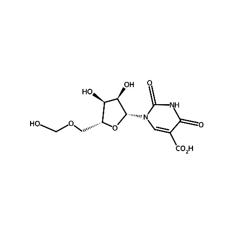 O=C(O)c1cn([C@@H]2O[C@H](COCO)[C@@H](O)[C@H]2O)c(=O)[nH]c1=O